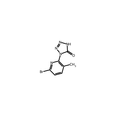 Cc1ccc(Br)nc1-n1nn[nH]c1=O